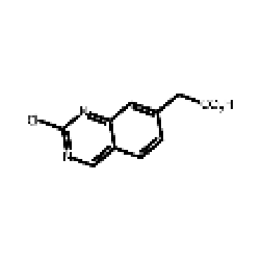 O=C(O)Cc1ccc2cnc(Cl)nc2c1